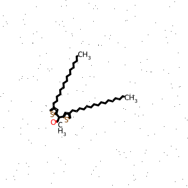 CCCCCCCCCCCCCCCCc1csc(C(C(C)=O)c2cc(CCCCCCCCCCCCCCCC)cs2)c1